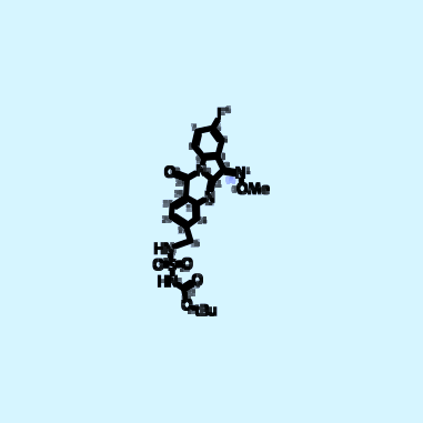 CO/N=C1/c2cc(F)ccc2-n2c1nc1cc(CNS(=O)(=O)NC(=O)OC(C)(C)C)ccc1c2=O